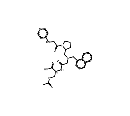 CC(=O)NC[C@H](NC(=O)CN(Cc1cccc2ccccc12)CC1CCCN1C(=O)CNc1ccncc1)C(=O)O